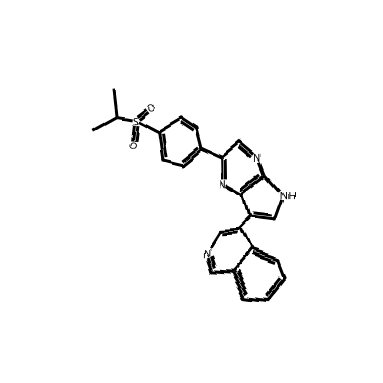 CC(C)S(=O)(=O)c1ccc(-c2cnc3[nH]cc(-c4cncc5ccccc45)c3n2)cc1